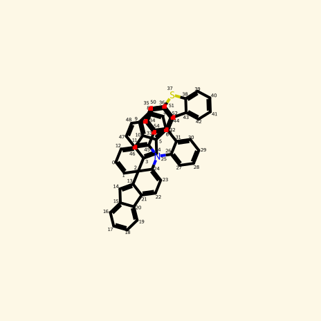 C1=CC2(C3=Cc4ccccc4C3=C1)C1=Cc3ccccc3C1=CC=C2N(c1ccccc1-c1cccc2sc3ccccc3c12)c1cccc2ccccc12